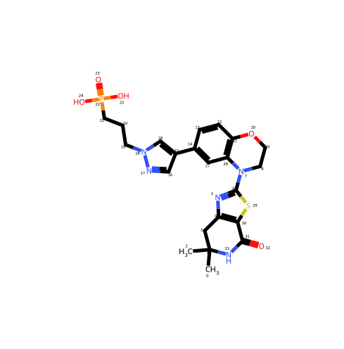 CC1(C)Cc2nc(N3CCOc4ccc(-c5cnn(CCCP(=O)(O)O)c5)cc43)sc2C(=O)N1